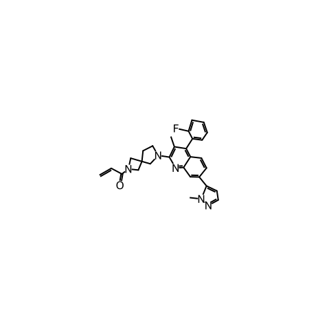 C=CC(=O)N1CC2(CCN(c3nc4cc(-c5ccnn5C)ccc4c(-c4ccccc4F)c3C)C2)C1